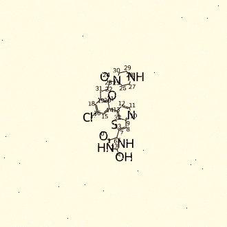 O=C1NC(O)NC1c1cc2nccc(-c3cc(Cl)cc4c3OC(C(=O)N3CCNCC3)C4)c2s1